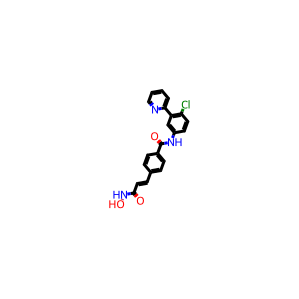 O=C(/C=C/c1ccc(C(=O)Nc2ccc(Cl)c(-c3ccccn3)c2)cc1)NO